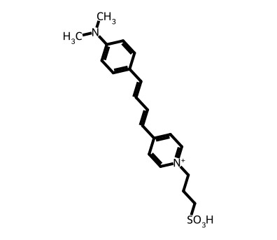 CN(C)c1ccc(/C=C/C=C/c2cc[n+](CCCS(=O)(=O)O)cc2)cc1